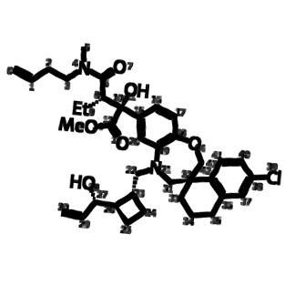 C=CCCN(C)C(=O)[C@@H](CC)[C@@](O)(C(=O)OC)c1ccc2c(c1)N(C[C@@H]1CC[C@H]1[C@@H](O)C=C)C[C@@]1(CCCc3cc(Cl)ccc31)CO2